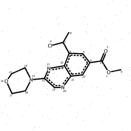 COC(=O)c1cc(C(C)Cl)c2nc(N3CCOCC3)cnc2c1